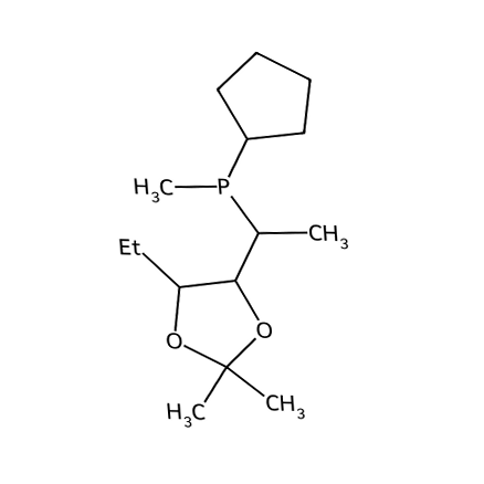 CCC1OC(C)(C)OC1C(C)P(C)C1CCCC1